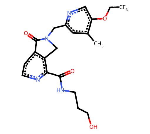 Cc1cc(CN2Cc3c(ccnc3C(=O)NCCCO)C2=O)ncc1OCC(F)(F)F